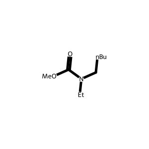 CCCCCN(CC)C(=O)OC